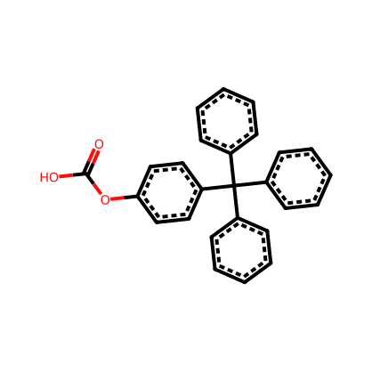 O=C(O)Oc1ccc(C(c2ccccc2)(c2ccccc2)c2ccccc2)cc1